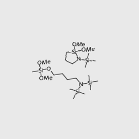 CO[Si](C)(OC)OCCCCN([Si](C)(C)C)[Si](C)(C)C.CO[Si]1(OC)CCCN1[Si](C)(C)C